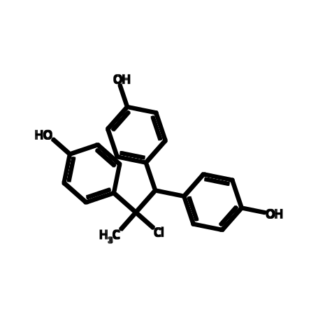 CC(Cl)(c1ccc(O)cc1)C(c1ccc(O)cc1)c1ccc(O)cc1